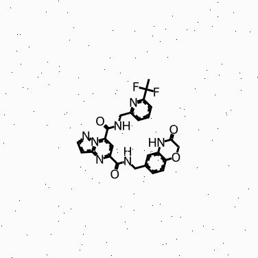 CC(F)(F)c1cccc(CNC(=O)c2cc(C(=O)NCc3ccc4c(c3)NC(=O)CO4)nc3ccnn23)n1